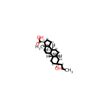 CCC[C@@]1(O)CC[C@H]2[C@H](CC[C@@H]3[C@@H]2CC[C@]2(C)[C@@H](C(=O)O)CC[C@@H]32)C1